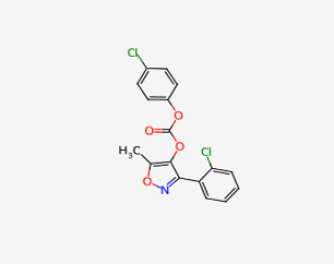 Cc1onc(-c2ccccc2Cl)c1OC(=O)Oc1ccc(Cl)cc1